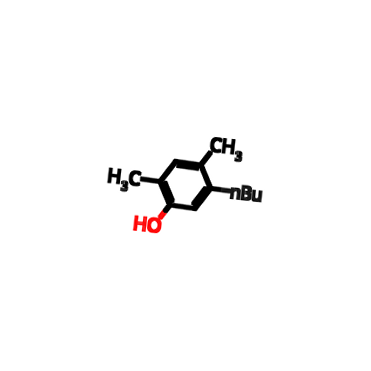 CCCCc1cc(O)c(C)cc1C